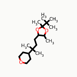 CC1OC(C)(C(C)(C)C)OC1CCC(C)(C)C1CCOCC1